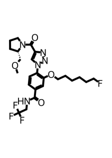 COC[C@@H]1CCCN1C(=O)c1cn(-c2ccc(C(=O)NCC(F)(F)F)cc2OCCCCCCF)nn1